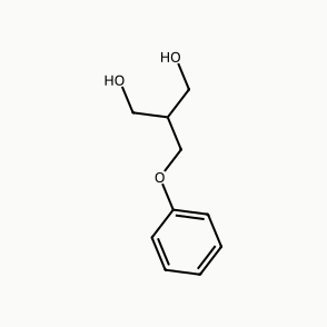 OCC(CO)COc1ccccc1